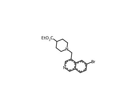 CCOC(=O)C1CCN(Cc2cncc3ccc(Br)cc23)CC1